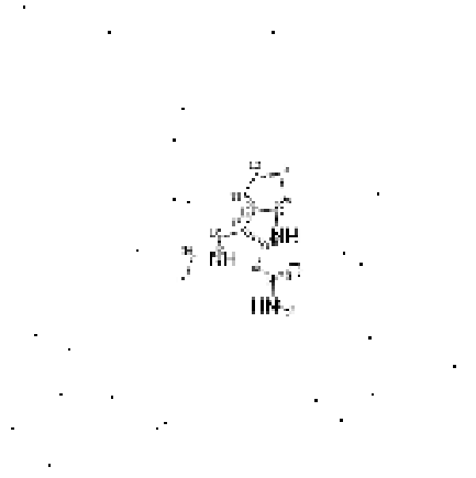 [CH2]NC(=O)Cc1[nH]c2ccccc2c1CNCC